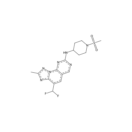 Cc1nc2c(C(F)F)cc3cnc(NC4CCN(S(C)(=O)=O)CC4)nc3n2n1